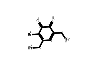 CC(C)CC1=CC(CC(C)C)=C(Br)C(=O)C1=O